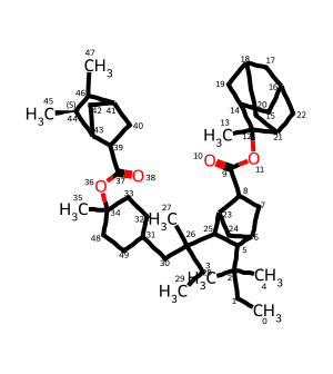 CCC(C)(C)C1C2CC(C(=O)OC3(C)C4CC5CC(C4)CC3C5)C(C2)C1C(C)(CC)CC1CCC(C)(OC(=O)C2CC3CC2[C@@H](C)C3C)CC1